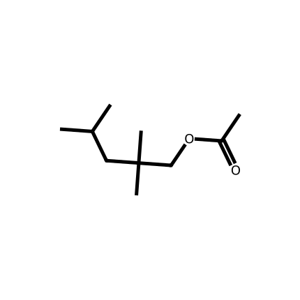 CC(=O)OCC(C)(C)CC(C)C